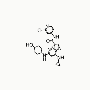 O=C(Nc1ccnc(Cl)c1)c1cnc2c(NC3CC3)cc(N[C@H]3CC[C@H](O)CC3)nn12